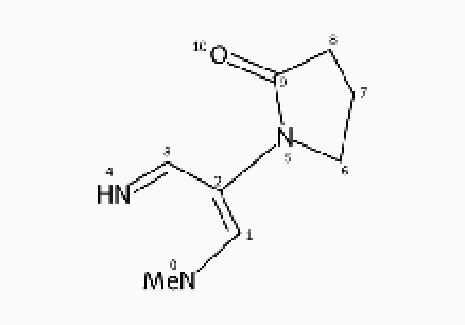 CN/C=C(\C=N)N1CCCC1=O